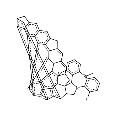 COc1cccc(OC)c1C1N(c2c(F)cccc2F)CC2c3cc4c5c6c(cc7cc8c9c%10c%11c%12c%13c%14c%15c(c%16c3c5c(c%16%13)c3c6c7c9c%123)C21CC%15C=C(C=C%10C8)C%14%11)C4